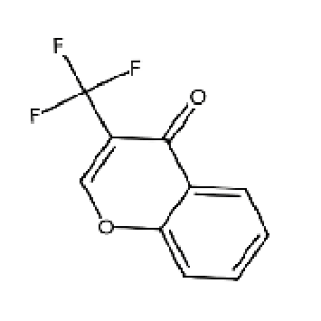 O=c1c(C(F)(F)F)coc2ccccc12